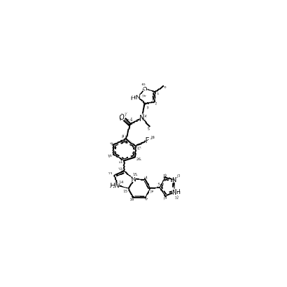 CC1=CC(N(C)C(=O)c2ccc(C3=CNC4C=CC(c5cn[nH]c5)=CN34)cc2F)NO1